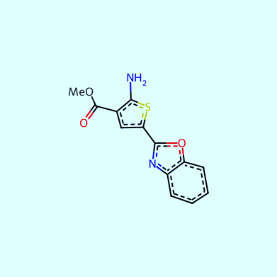 COC(=O)c1cc(-c2nc3ccccc3o2)sc1N